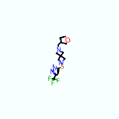 Cn1nc(C(F)(F)F)cc1SN1CC2(CN(CC3CCOC3)C2)C1